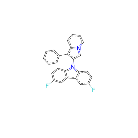 Fc1ccc2c(c1)c1cc(F)ccc1n2-c1cn2ccccc2c1-c1ccccc1